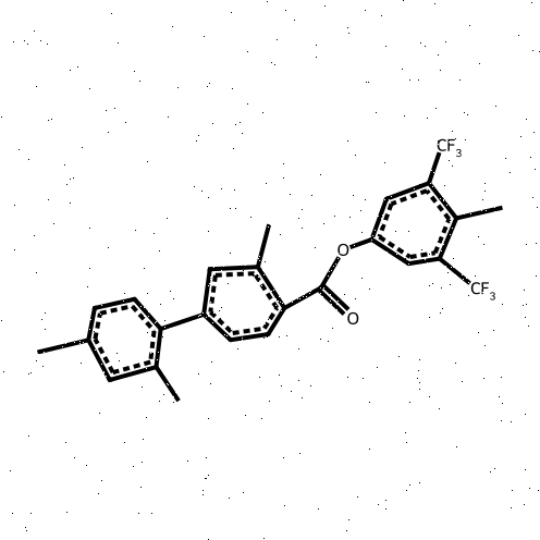 Cc1ccc(-c2ccc(C(=O)Oc3cc(C(F)(F)F)c(C)c(C(F)(F)F)c3)c(C)c2)c(C)c1